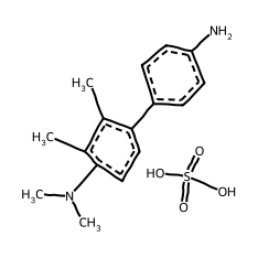 Cc1c(-c2ccc(N)cc2)ccc(N(C)C)c1C.O=S(=O)(O)O